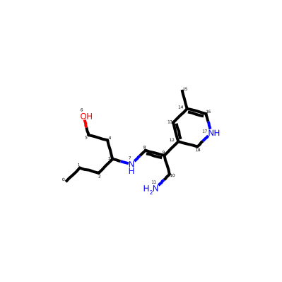 CCCC(CCO)N/C=C(\CN)C1=CC(C)=CNC1